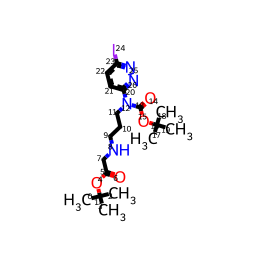 CC(C)(C)OC(=O)CNCCCN(C(=O)OC(C)(C)C)c1ccc(I)nn1